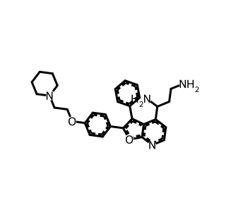 NCCC(N)c1ccnc2oc(-c3ccc(OCCN4CCCCC4)cc3)c(-c3ccccc3)c12